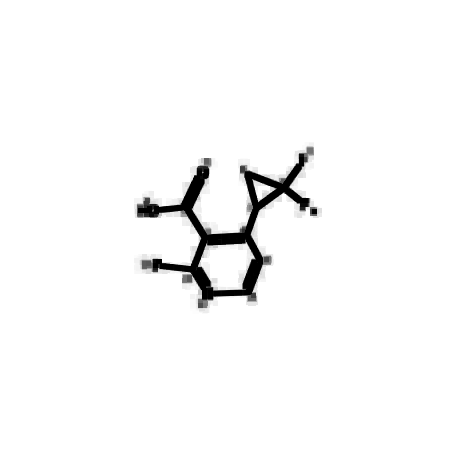 O=C(O)c1c(C2CC2(F)F)ccnc1F